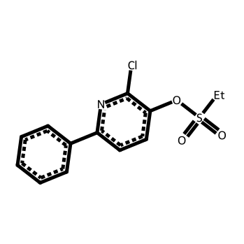 CCS(=O)(=O)Oc1ccc(-c2ccccc2)nc1Cl